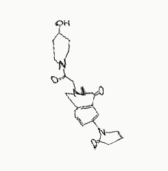 O=C(CN1Cc2ccc(N3CCCC3=O)cc2C1=O)N1CCC(O)CC1